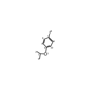 CC(C)Oc1ccc(I)cc1